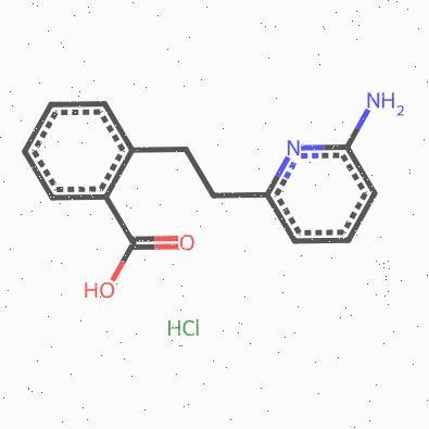 Cl.Nc1cccc(CCc2ccccc2C(=O)O)n1